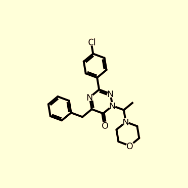 CC(N1CCOCC1)n1nc(-c2ccc(Cl)cc2)nc(Cc2ccccc2)c1=O